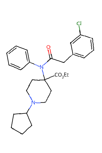 CCOC(=O)C1(N(C(=O)Cc2cccc(Cl)c2)c2ccccc2)CCN(C2CCCC2)CC1